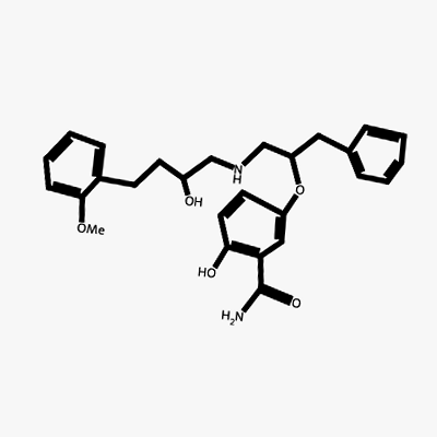 COc1ccccc1CCC(O)CNCC(Cc1ccccc1)Oc1ccc(O)c(C(N)=O)c1